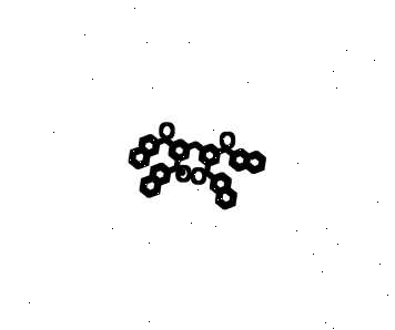 O=C(c1cc(Cc2cc(C(=O)c3ccc4ccccc4c3)cc(C(=O)c3ccc4ccccc4c3)c2)cc(C(=O)c2ccc3ccccc3c2)c1)c1ccc2ccccc2c1